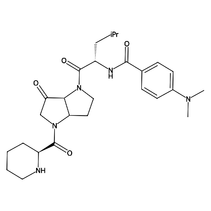 CC(C)C[C@H](NC(=O)c1ccc(N(C)C)cc1)C(=O)N1CCC2C1C(=O)CN2C(=O)[C@@H]1CCCCN1